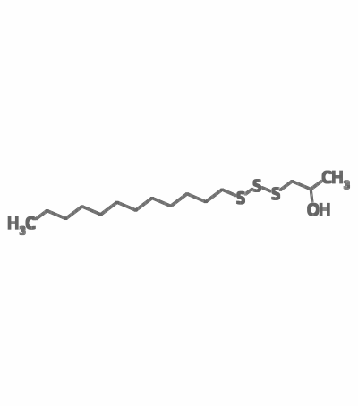 CCCCCCCCCCCCSSSCC(C)O